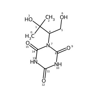 CC(C)(O)C(CO)n1c(=O)[nH]c(=O)[nH]c1=O